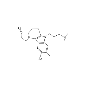 CC(=O)c1cc2c3c(n(CCCN(C)C)c2cc1C)CCC1=C3CCC1=O